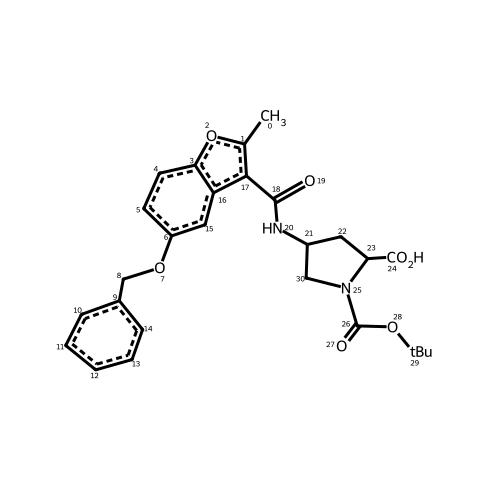 Cc1oc2ccc(OCc3ccccc3)cc2c1C(=O)NC1CC(C(=O)O)N(C(=O)OC(C)(C)C)C1